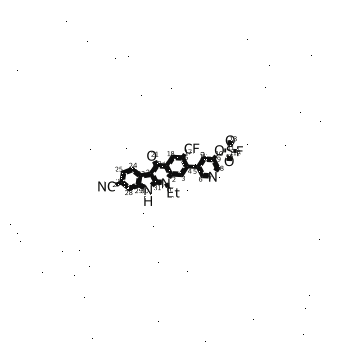 CCn1c2cc(-c3cncc(OS(=O)(=O)F)c3)c(C(F)(F)F)cc2c(=O)c2c3ccc(C#N)cc3[nH]c21